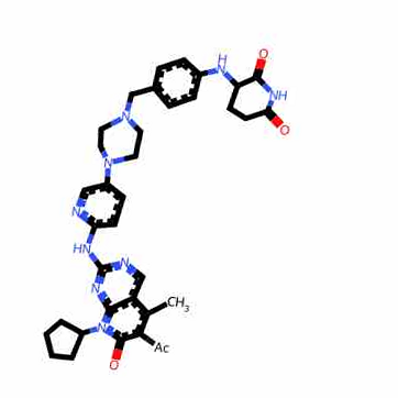 CC(=O)c1c(C)c2cnc(Nc3ccc(N4CCN(Cc5ccc(NC6CCC(=O)NC6=O)cc5)CC4)cn3)nc2n(C2CCCC2)c1=O